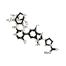 COC(=O)N1CC[C@@H](c2nc3c(F)cc(-c4nc(N[C@@H]5[C@@H](C)[C@H]6CO[C@H](O6)[C@H]5O)ncc4Cl)cc3n2C(C)C)C1